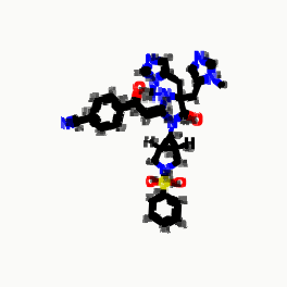 Cn1cncc1CC1(Cc2cncn2C)N/C(=C\C(=O)c2ccc(C#N)cc2)N([C@H]2[C@@H]3CN(S(=O)(=O)c4ccccc4)C[C@@H]32)C1=O